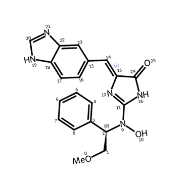 COC[C@@H](c1ccccc1)N(O)C1=N/C(=C\c2ccc3[nH]cnc3c2)C(=O)N1